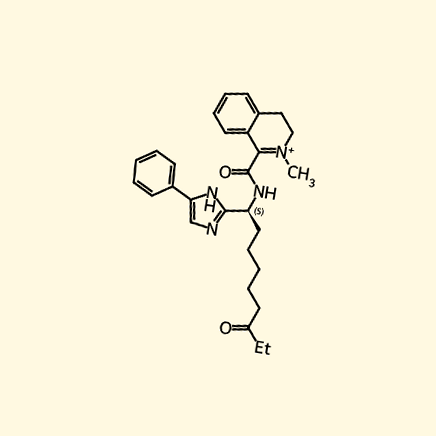 CCC(=O)CCCCC[C@H](NC(=O)C1=[N+](C)CCc2ccccc21)c1ncc(-c2ccccc2)[nH]1